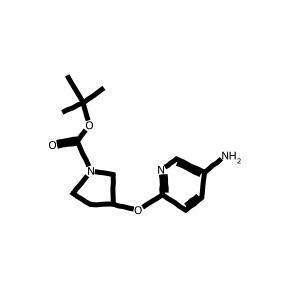 CC(C)(C)OC(=O)N1CCC(Oc2ccc(N)cn2)C1